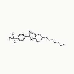 CCCCCCCC1CCc2nc(-c3ccc(C(F)(F)F)cc3)ncc2C1